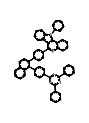 c1ccc(-c2nc(-c3ccccc3)nc(-c3ccc(-c4c(-c5ccc(-c6nc7ccccc7c7c6c6ccccc6n7-c6ccccc6)cc5)ccc5ccccc45)cc3)n2)cc1